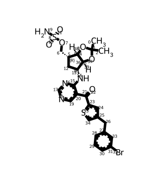 CC1(C)O[C@@H]2[C@@H](COS(N)(=O)=O)C[C@@H](Nc3ncncc3C(=O)c3cc(Cc4cccc(Br)c4)cs3)[C@@H]2O1